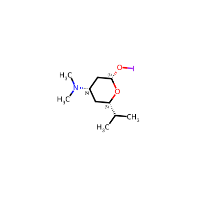 CC(C)[C@@H]1C[C@H](N(C)C)C[C@H](OI)O1